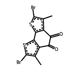 Cc1c(Br)sc2c1C(=O)C(=O)c1c-2sc(Br)c1C